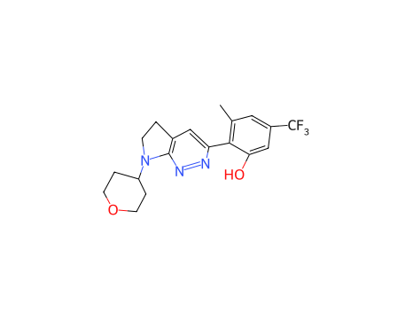 Cc1cc(C(F)(F)F)cc(O)c1-c1cc2c(nn1)N(C1CCOCC1)CC2